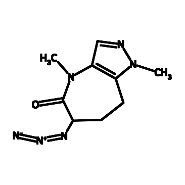 CN1C(=O)C(N=[N+]=[N-])CCc2c1cnn2C